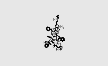 C=CCNCCCC[C@H](NC(=O)[C@@H](CCc1ccccc1)NC(=O)[C@H](Cc1c[nH]c2ccccc12)NC(=O)N(C#CC)NC(=O)[C@@H](Cc1c[nH]c2ccccc12)NC(=O)[C@@H](N)Cc1cnc[nH]1)C(N)=O